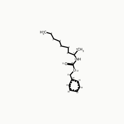 CCCCCCCC(C)NC(=O)OCc1ccccc1